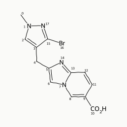 Cn1cc(Cc2cn3cc(C(=O)O)ccc3n2)c(Br)n1